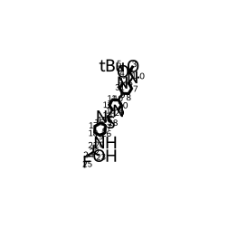 CN(C(=O)OC(C)(C)C)c1ccc(-c2ccc(-c3nc4ccc(NCC(O)CF)cc4s3)nc2)cn1